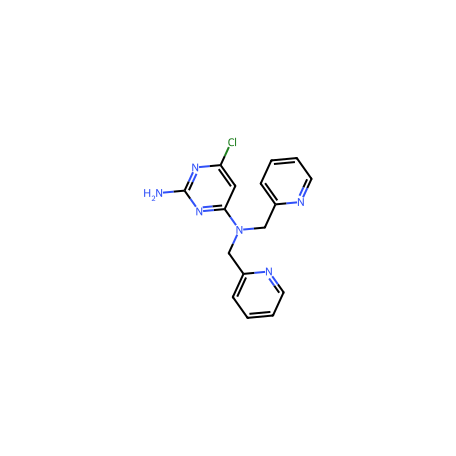 Nc1nc(Cl)cc(N(Cc2ccccn2)Cc2ccccn2)n1